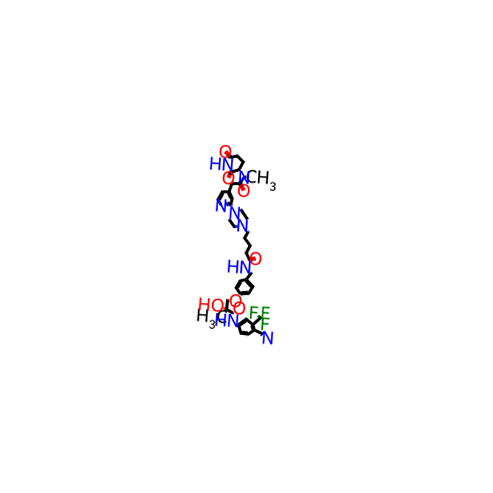 CN(C(=O)Cc1ccnc(N2CCN(CCCCC(=O)NCc3ccc(OCC(C)(O)C(=O)Nc4ccc(C#N)c(C(F)(F)F)c4)cc3)CC2)c1)[C@H]1CCC(=O)NC1=O